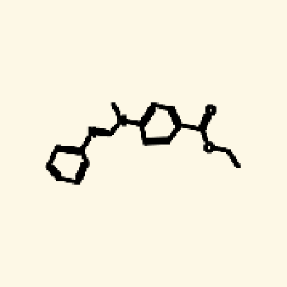 CCOC(=O)c1ccc(N(C)C=Nc2ccccc2)cc1